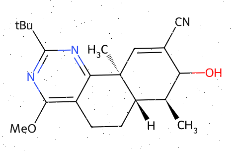 COc1nc(C(C)(C)C)nc2c1CC[C@H]1[C@H](C)C(O)C(C#N)=C[C@]21C